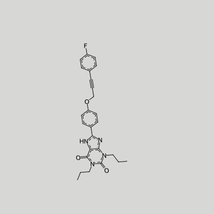 CCCn1c(=O)c2[nH]c(-c3ccc(OCC#Cc4ccc(F)cc4)cc3)nc2n(CCC)c1=O